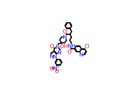 O=C(NCCCC(Cc1ccccc1)C(=O)N1CCC(O)(Cn2cnc3c(cnn3-c3cccc([N+](=O)[O-])c3)c2=O)CC1)c1ccc2c(Cl)ccnc2c1